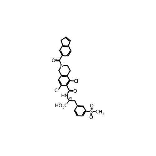 CS(=O)(=O)c1cccc(C[C@H](NC(=O)c2c(Cl)cc3c(c2Cl)CCN(C(=O)c2ccc4c(c2)CC=C4)C3)C(=O)O)c1